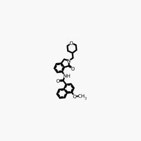 COc1ccc(C(=O)Nc2cccc3c2C(=O)N(CC2CCOCC2)C3)c2ccccc12